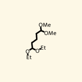 CCOC(CCCC(OC)OC)OCC